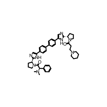 CN(C)[C@@H](C(=O)N1CCC[C@H]1c1ncc(-c2ccc(-c3ccc(-c4cnc([C@@H]5CCCN5C(=O)CCN5CCCCC5)[nH]4)cc3)cc2)[nH]1)c1ccccc1